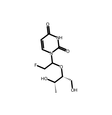 C[C@H](O)[C@@H](CO)OC(CF)n1ccc(=O)[nH]c1=O